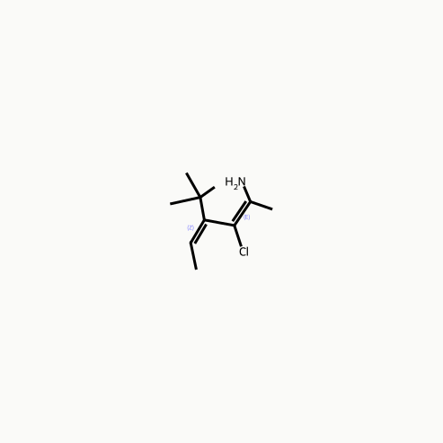 C/C=C(\C(Cl)=C(\C)N)C(C)(C)C